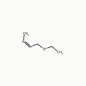 CCOC/[C]=N\C